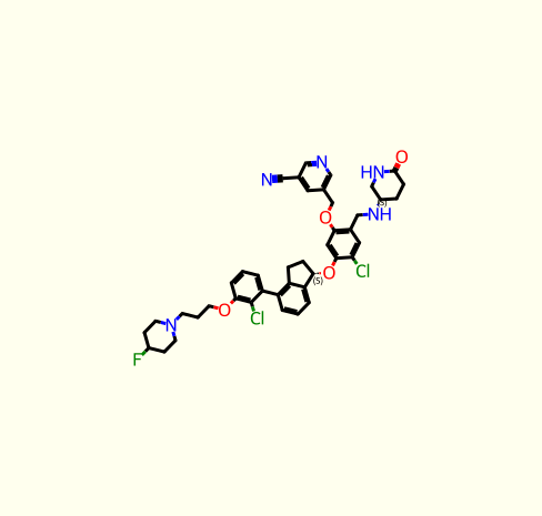 N#Cc1cncc(COc2cc(O[C@H]3CCc4c(-c5cccc(OCCCN6CCC(F)CC6)c5Cl)cccc43)c(Cl)cc2CN[C@H]2CCC(=O)NC2)c1